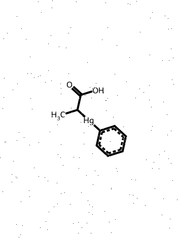 C[CH]([Hg][c]1ccccc1)C(=O)O